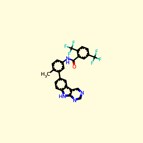 Cc1ccc(NC(=O)c2cc(C(F)(F)F)ccc2C(F)(F)F)cc1-c1ccc2[nH]c3ncncc3c2c1